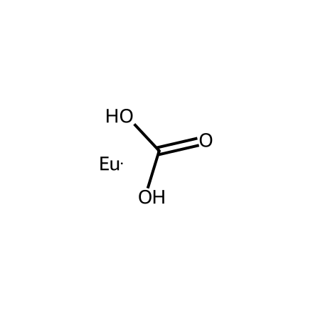 O=C(O)O.[Eu]